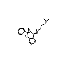 CN(C)CCCON=C1c2ccc(F)cc2OC2(c3ccccc3)CC12